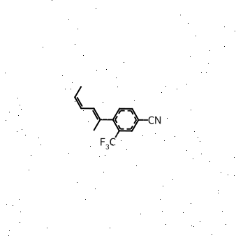 C/C=C\C=C(/C)c1ccc(C#N)cc1C(F)(F)F